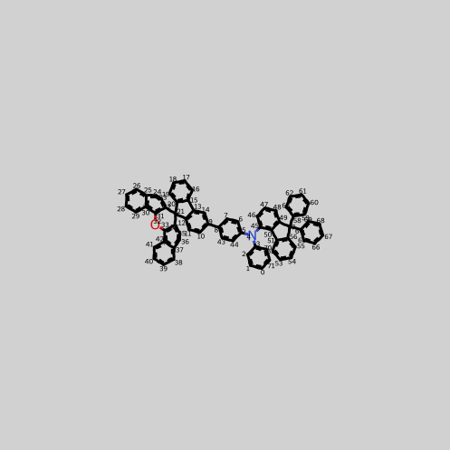 c1ccc(N(c2ccc(-c3ccc4c(c3)-c3ccccc3C43c4ccc5ccccc5c4Oc4c3ccc3ccccc43)cc2)c2cccc3c2-c2ccccc2C3(c2ccccc2)c2ccccc2)cc1